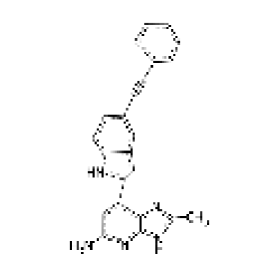 Cc1nc2c(-c3cc4cc(C#Cc5ccccc5)ccc4[nH]3)cc(N)nc2[nH]1